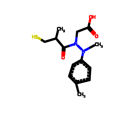 Cc1ccc(N(C)N(CC(=O)O)C(=O)C(C)CS)cc1